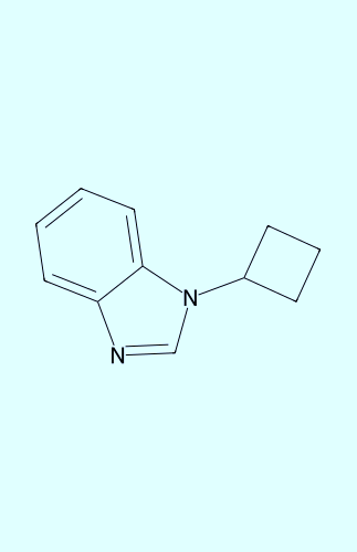 c1ccc2c(c1)ncn2C1CCC1